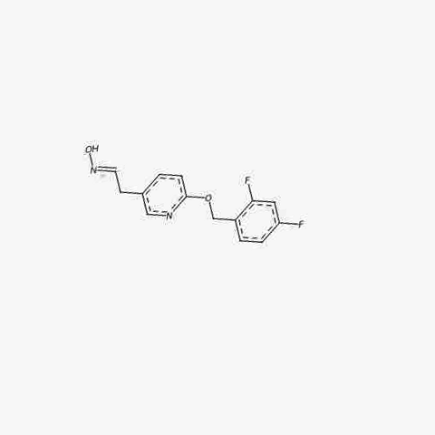 O/N=[C]/Cc1ccc(OCc2ccc(F)cc2F)nc1